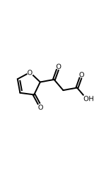 O=C(O)CC(=O)C1OC=CC1=O